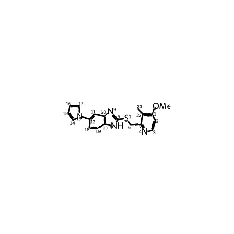 COc1ccnc(CSc2nc3cc(-n4cccc4)ccc3[nH]2)c1C